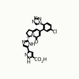 O=C(O)c1cc(-c2cnc([C@@H]3CCc4cc(-c5cc(Cl)ccc5-n5cnnn5)cc(=O)n43)[nH]2)n[nH]1